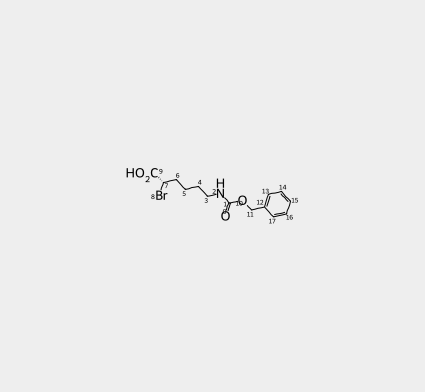 O=C(NCCCC[C@H](Br)C(=O)O)OCc1ccccc1